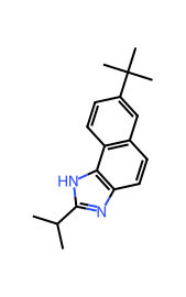 CC(C)c1nc2ccc3cc(C(C)(C)C)ccc3c2[nH]1